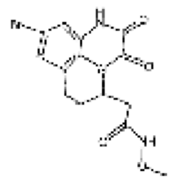 CONC(=O)CC1CCc2cc(Br)cc3[nH]c(=O)c(=O)n1c23